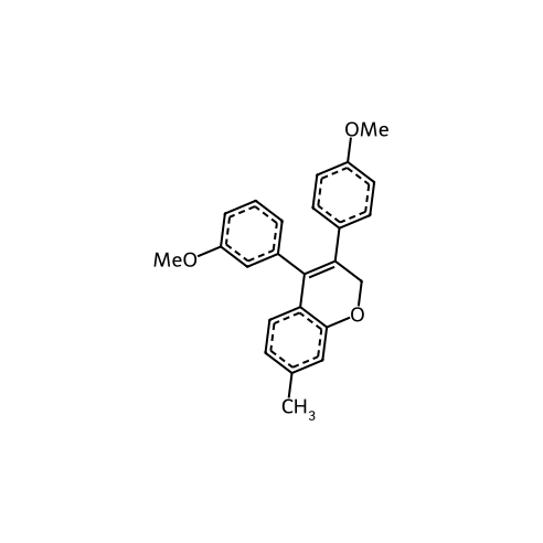 COc1ccc(C2=C(c3cccc(OC)c3)c3ccc(C)cc3OC2)cc1